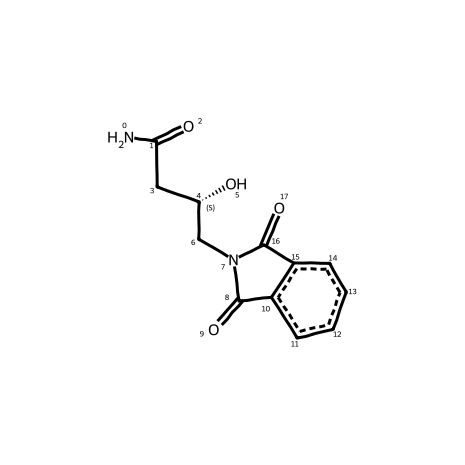 NC(=O)C[C@H](O)CN1C(=O)c2ccccc2C1=O